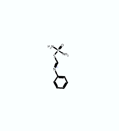 NP(N)(=O)S/C=N/c1ccccc1